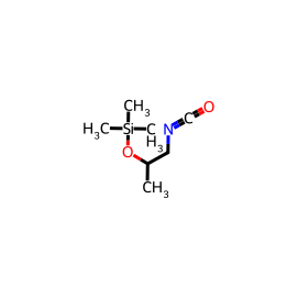 CC(CN=C=O)O[Si](C)(C)C